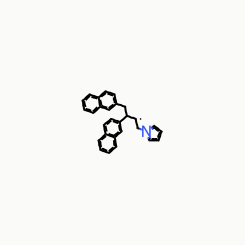 [CH](Cn1cccc1)C(Cc1ccc2ccccc2c1)c1ccc2ccccc2c1